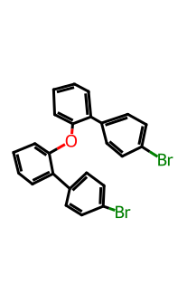 Brc1ccc(-c2ccccc2Oc2ccccc2-c2ccc(Br)cc2)cc1